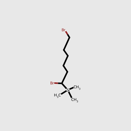 C[Si](C)(C)C(Br)CCCCCBr